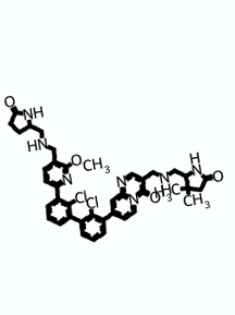 COc1nc(-c2cccc(-c3cccc(-c4ccn5c(=O)c(CNCC6NC(=O)CC6(C)C)cnc5c4)c3Cl)c2Cl)ccc1CNCC1CCC(=O)N1